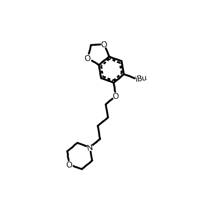 CCC(C)c1cc2c(cc1OCCCCN1CCOCC1)OCO2